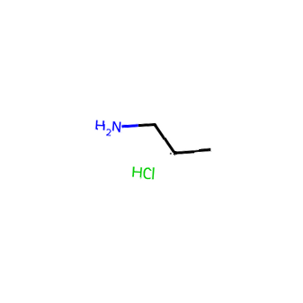 C[CH]CN.Cl